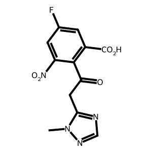 Cn1ncnc1CC(=O)c1c(C(=O)O)cc(F)cc1[N+](=O)[O-]